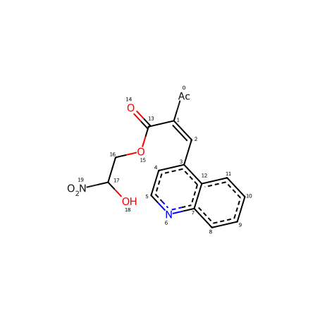 CC(=O)C(=Cc1ccnc2ccccc12)C(=O)OCC(O)[N+](=O)[O-]